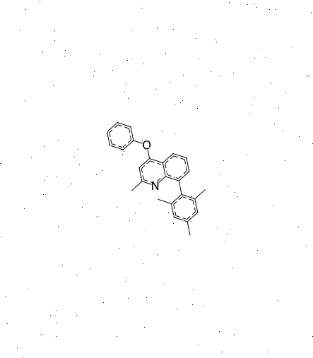 Cc1cc(C)c(-c2cccc3c(Oc4ccccc4)cc(C)nc23)c(C)c1